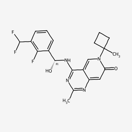 Cc1nc(N[C@H](O)c2cccc(C(F)F)c2F)c2cn(C3(C)CCC3)c(=O)cc2n1